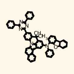 CC1(C)c2cc(-c3nc(-c4ccccc4)nc(-c4ccccc4)n3)ccc2-n2c3ccc4ccccc4c3c3cc(N(c4ccccc4)c4cccc5c4OC4C=CC=CC54)cc1c32